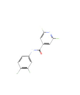 O=C(Nc1ccc(Cl)c(Cl)c1)c1cc(F)nc(F)c1